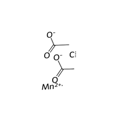 CC(=O)[O-].CC(=O)[O-].[C].[Mn+2]